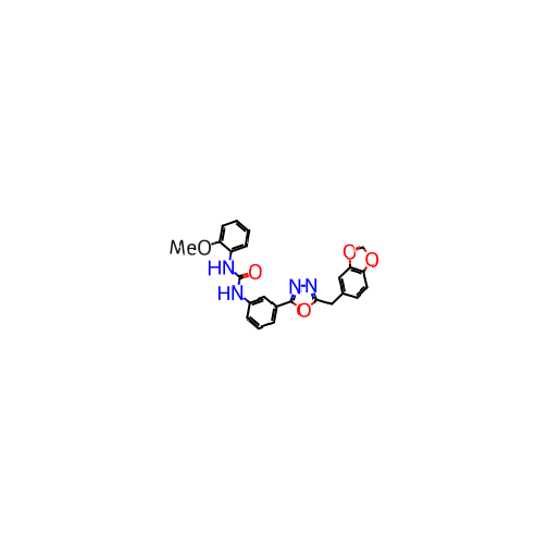 COc1ccccc1NC(=O)Nc1cccc(-c2nnc(Cc3ccc4c(c3)OCO4)o2)c1